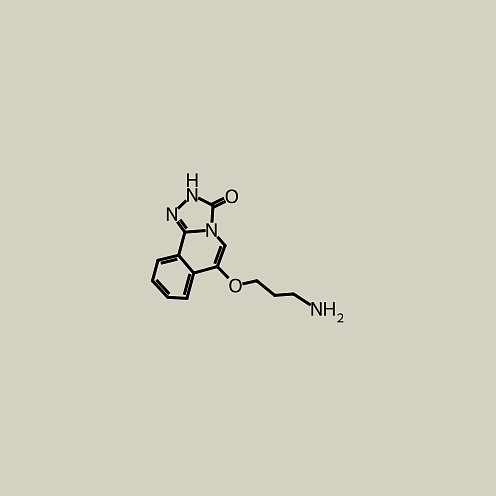 NCCCOc1cn2c(=O)[nH]nc2c2ccccc12